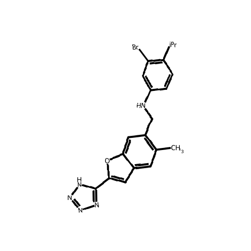 Cc1cc2cc(-c3nnn[nH]3)oc2cc1CNc1ccc(C(C)C)c(Br)c1